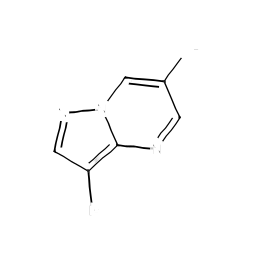 FC(F)(F)c1cnc2c(Br)cnn2c1